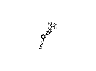 COCCOCc1cccc(-c2nc(C(=O)NC(CS)C(=O)OC)cs2)c1